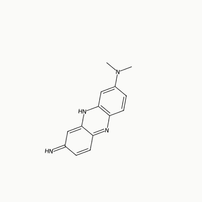 CN(C)c1ccc2nc3ccc(=N)cc-3[nH]c2c1